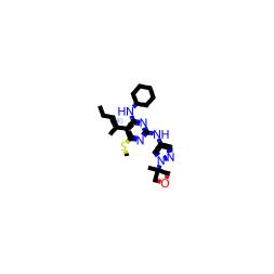 CC/C=C(\C)c1c(NC2CCCCC2)nc(Nc2cnn(C3(C)COC3)c2)nc1SC